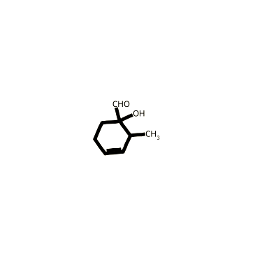 CC1C=CCCC1(O)C=O